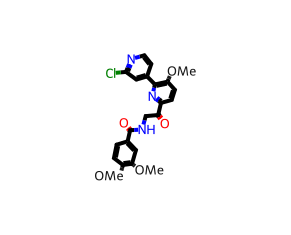 COc1ccc(C(=O)NCC(=O)c2ccc(OC)c(-c3ccnc(Cl)c3)n2)cc1OC